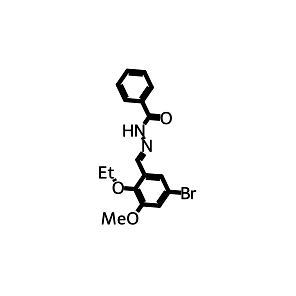 CCOc1c(/C=N/NC(=O)c2ccccc2)cc(Br)cc1OC